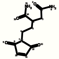 NC(=O)CC(CCN1C(=O)C=CC1=O)C(N)=O